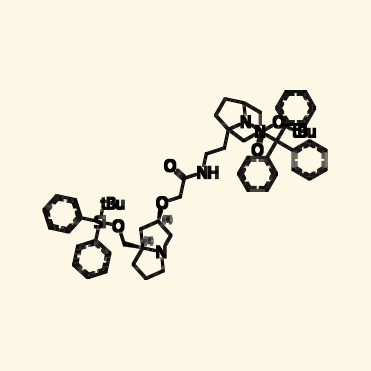 CC(C)(C)OC(=O)N1C2CCC1(CCNC(=O)CO[C@H]1CN3CCC[C@]3(CO[Si](c3ccccc3)(c3ccccc3)C(C)(C)C)C1)CN(C(c1ccccc1)(c1ccccc1)c1ccccc1)C2